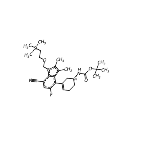 Cc1c(C)n(COCC[Si](C)(C)C)c2c(C#N)cc(F)c(C3=CCC[C@H](NC(=O)OC(C)(C)C)C3)c12